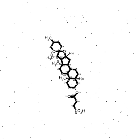 CC1CC[C@@]2(OC1)O[C@H]1CC3C4CC[C@@H]5C[C@H](OC(=O)CCC(=O)O)CC[C@]5(C)C4CC[C@]3(C)C1[C@@H]2C